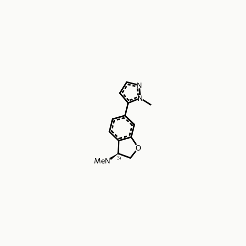 CN[C@@H]1COc2cc(-c3ccnn3C)ccc21